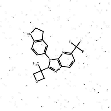 CC1(c2nc3ccc(C(F)(F)F)nc3n2-c2ccc3c(c2)CCN3)COC1